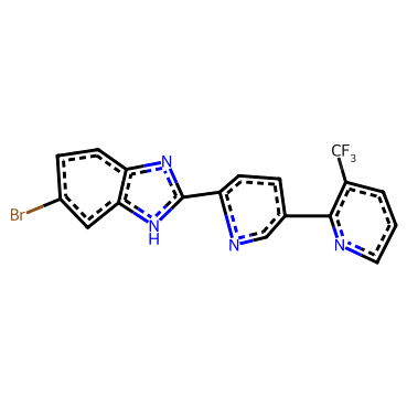 FC(F)(F)c1cccnc1-c1ccc(-c2nc3ccc(Br)cc3[nH]2)nc1